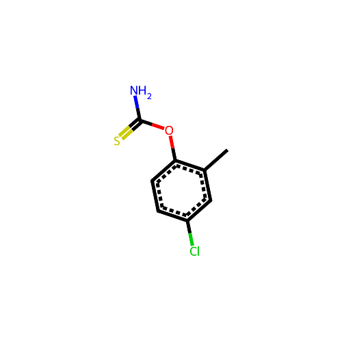 Cc1cc(Cl)ccc1OC(N)=S